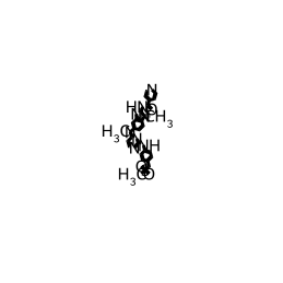 CN(c1ccc2c(c1)nc(NC(=O)c1ccncc1)n2C)c1ccnc(Nc2ccc(CS(C)(=O)=O)cc2)n1